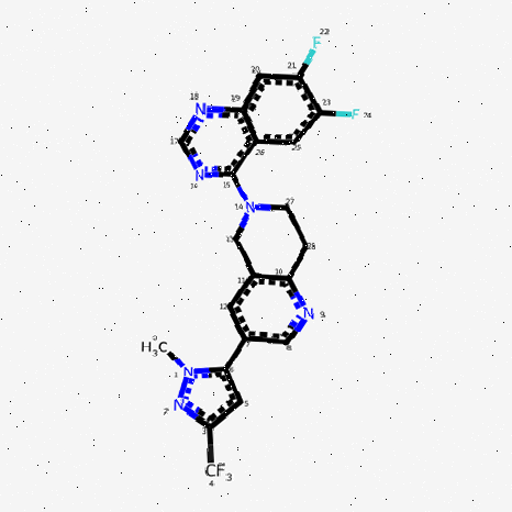 Cn1nc(C(F)(F)F)cc1-c1cnc2c(c1)CN(c1ncnc3cc(F)c(F)cc13)CC2